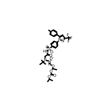 Cc1ccc(-c2cc(C(F)(F)F)nn2-c2ccc(S(=O)(=O)NC(=O)CN(/[N+]([O-])=N/OC(C)OC(=O)OC(C)C)C(C)(C)C)cc2)cc1